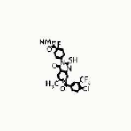 CNC(=O)C1(F)CCC(n2c(S)nc3c(c2=O)C[C@@H](C)N(C(=O)c2ccc(Cl)c(C(F)(F)F)c2)C3)CC1